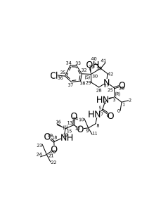 CC(C)[C@@H](NC(=O)NCC(C)(C)OC(=O)[C@H](C)NC(=O)OC(C)(C)C)C(=O)N1CC[C@](O)(c2ccc(Cl)cc2)C(C)(C)C1